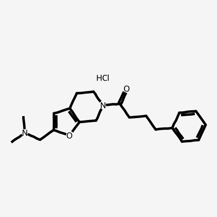 CN(C)Cc1cc2c(o1)CN(C(=O)CCCc1ccccc1)CC2.Cl